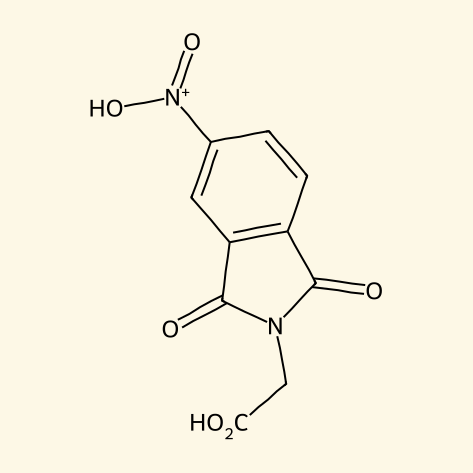 O=C(O)CN1C(=O)c2ccc([N+](=O)O)cc2C1=O